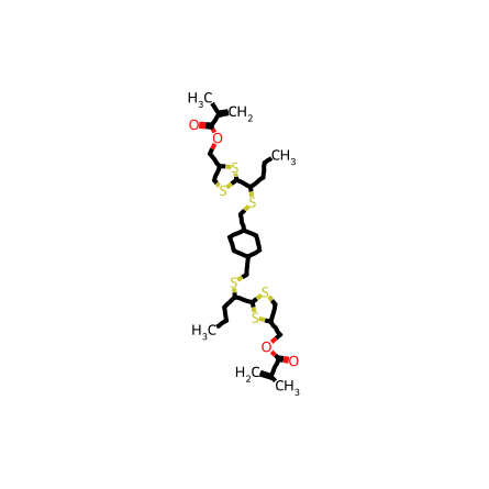 C=C(C)C(=O)OCC1CSC(C(CCC)SCC2CCC(CSC(CCC)C3SCC(COC(=O)C(=C)C)S3)CC2)S1